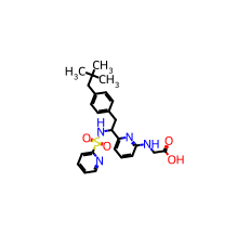 CC(C)(C)Cc1ccc(CC(NS(=O)(=O)c2ccccn2)c2cccc(NCC(=O)O)n2)cc1